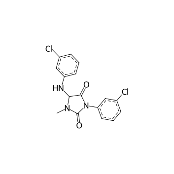 CN1C(=O)N(c2cccc(Cl)c2)C(=O)C1Nc1cccc(Cl)c1